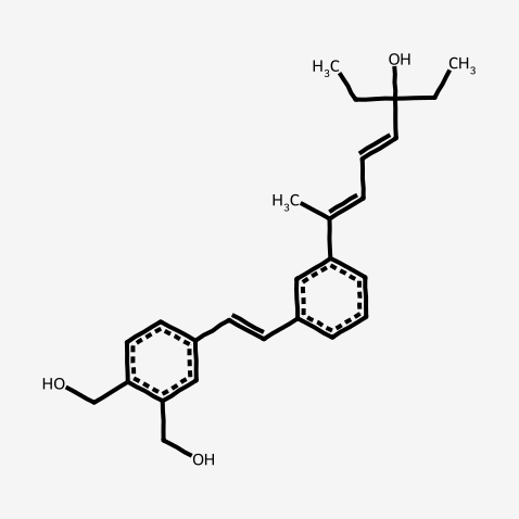 CCC(O)(/C=C/C=C(\C)c1cccc(/C=C/c2ccc(CO)c(CO)c2)c1)CC